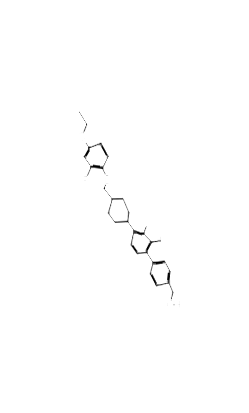 CCOc1ccc(OCC2CCC(c3ccc(-c4ccc(CO)cc4)c(F)c3F)CC2)c(F)c1